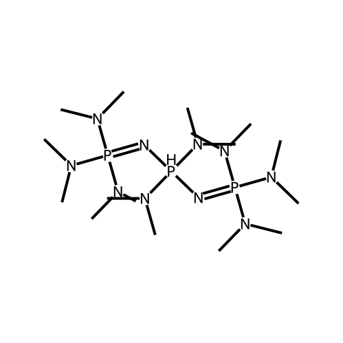 CN(C)P(=N[PH](N=P(N(C)C)(N(C)C)N(C)C)(N(C)C)N(C)C)(N(C)C)N(C)C